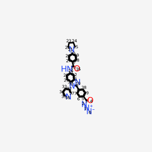 [N-]=[N+]=NC(=O)c1ccc(-c2nc3cc(NC(=O)c4ccc(N5CCCC5)cc4)ccc3n2-c2cccnc2)cc1